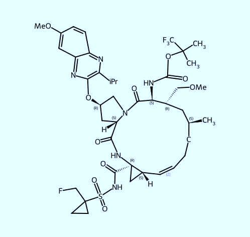 COC[C@@H]1C[C@@H](C)CC/C=C\[C@@H]2C[C@@]2(C(=O)NS(=O)(=O)C2(CF)CC2)NC(=O)[C@@H]2C[C@@H](Oc3nc4cc(OC)ccc4nc3C(C)C)CN2C(=O)[C@H]1NC(=O)OC(C)(C)C(F)(F)F